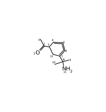 CC(=O)C1C=C=C=C(C(C)(C)N)C1